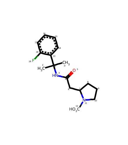 CC(C)(NC(=O)CC1CCCN1C(=O)O)c1ccccc1F